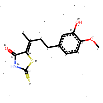 COc1ccc(CCC(C)=C2SC(=S)NC2=O)cc1O